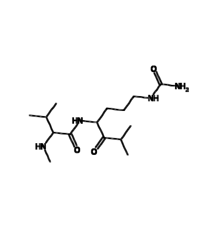 CNC(C(=O)NC(CCCNC(N)=O)C(=O)C(C)C)C(C)C